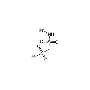 CC(C)NS(=O)(=O)CS(=O)(=O)C(C)C